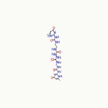 Cc1cc(=O)nc(NC(=O)NCCNC(=O)NNC(=O)NCNC(=O)Nc2nc(=O)cc(C)[nH]2)[nH]1